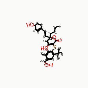 CCCCC1(CCc2ccc(O)cc2)CC(O)=C(Sc2cc(C)c(CO)cc2C(C)(C)C)C(=O)O1